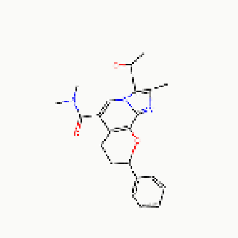 CC(=O)c1c(C)nc2c3c(c(C(=O)N(C)C)cn12)CCC(c1ccccc1)O3